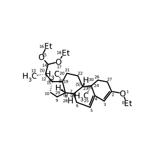 CCOC1=CC2=CC[C@H]3[C@@H]4CC[C@H]([C@H](C)C(OCC)OCC)[C@@]4(C)CC[C@@H]3[C@@]2(C)CC1